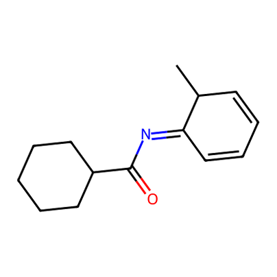 CC1C=CC=CC1=NC(=O)C1CCCCC1